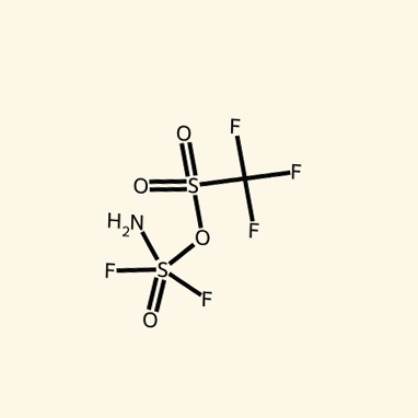 NS(=O)(F)(F)OS(=O)(=O)C(F)(F)F